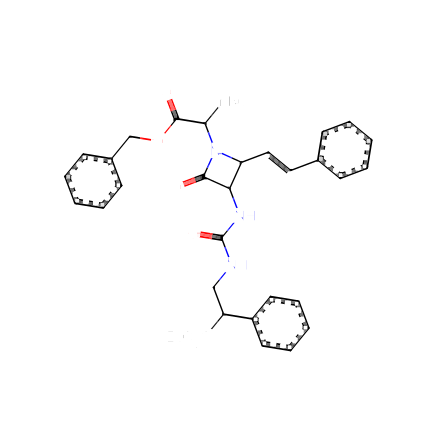 CCCCC(C(=O)OCc1ccccc1)N1C(=O)C(NC(=O)NCC(C(=O)OCC)c2ccccc2)C1C=Cc1ccccc1